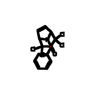 O=C1C(Cl)(Cl)C2C=CC(N2Cc2ccccc2)C1(Cl)Cl